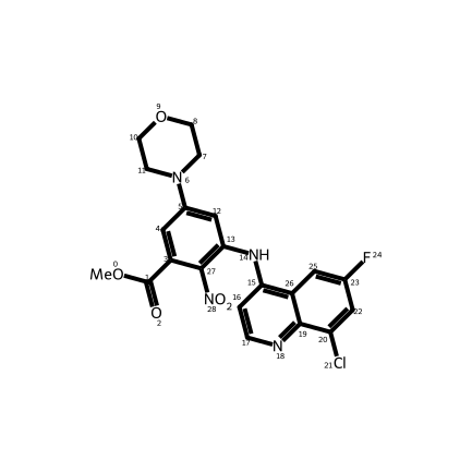 COC(=O)c1cc(N2CCOCC2)cc(Nc2ccnc3c(Cl)cc(F)cc23)c1[N+](=O)[O-]